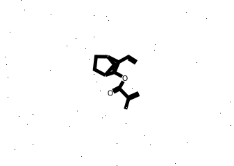 C=CC1=C(OC(=O)C(=C)C)C2CCC1C2